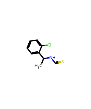 CC(NC=S)c1ccccc1Cl